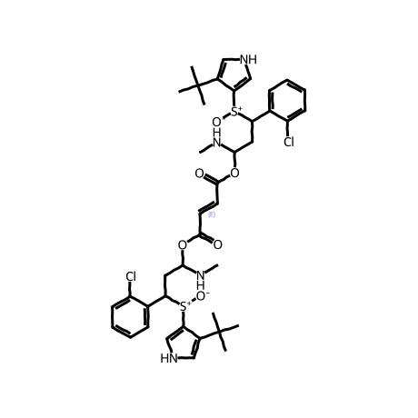 CNC(CC(c1ccccc1Cl)[S+]([O-])c1c[nH]cc1C(C)(C)C)OC(=O)/C=C/C(=O)OC(CC(c1ccccc1Cl)[S+]([O-])c1c[nH]cc1C(C)(C)C)NC